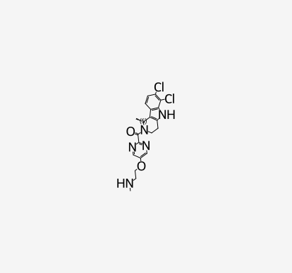 CNCCOc1cnc(C(=O)N2CCc3[nH]c4c(Cl)c(Cl)ccc4c3[C@@H]2C)nc1